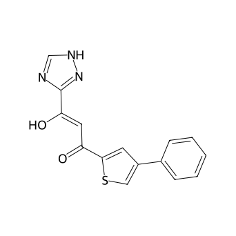 O=C(C=C(O)c1nc[nH]n1)c1cc(-c2ccccc2)cs1